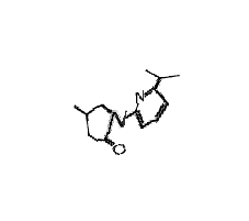 CC1CC(=O)N(c2cccc(C(C)C)n2)C1